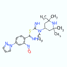 CN(C(=N)SC(=N)c1ccc(-n2cccn2)cc1N=O)C1CC(C)(C)NC(C)(C)C1